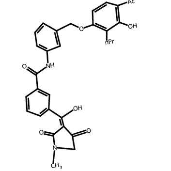 CCCc1c(OCc2cccc(NC(=O)c3cccc(C(O)=C4C(=O)CN(C)C4=O)c3)c2)ccc(C(C)=O)c1O